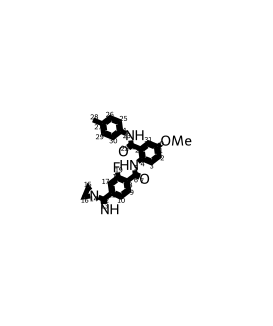 COc1ccc(NC(=O)c2ccc(C(=N)N3CC3)cc2F)c(C(=O)Nc2ccc(C)cc2)c1